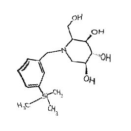 C[Si](C)(C)c1cccc(CN2C[C@H](O)[C@@H](O)[C@H](O)C2CO)c1